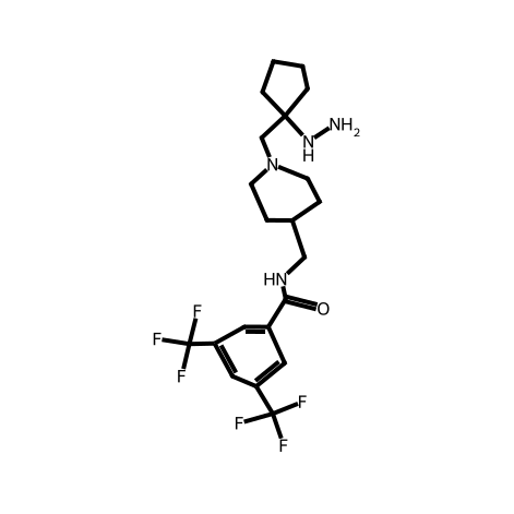 NNC1(CN2CCC(CNC(=O)c3cc(C(F)(F)F)cc(C(F)(F)F)c3)CC2)CCCC1